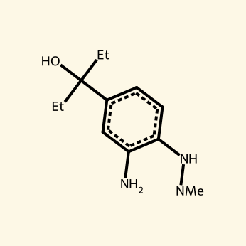 CCC(O)(CC)c1ccc(NNC)c(N)c1